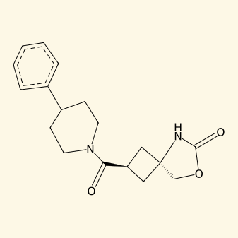 O=C1N[C@]2(CO1)C[C@H](C(=O)N1CCC(c3ccccc3)CC1)C2